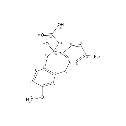 COc1ccc2c(c1)Cc1cc(F)ccc1C(O)(CC(=O)O)C2